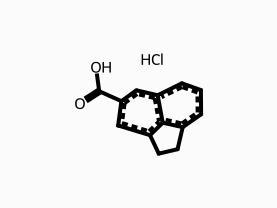 Cl.O=C(O)c1cc2c3c(cccc3c1)CC2